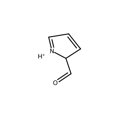 O=CC1C=CC=N1.[H+]